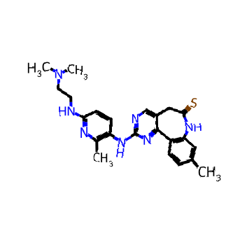 Cc1ccc2c(c1)NC(=S)Cc1cnc(Nc3ccc(NCCN(C)C)nc3C)nc1-2